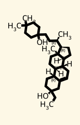 CC[C@]1(O)CC[C@H]2C(=CC[C@@H]3[C@@H]2CC[C@]2(C)[C@@H]([C@H](C)CCC4(O)CCC(C)(C)CC4)CC[C@@H]32)C1